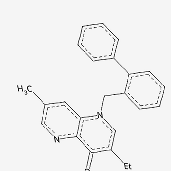 [CH2]Cc1cn(Cc2ccccc2-c2ccccc2)c2cc(C)cnc2c1=O